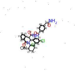 NC(=O)Cc1ccc(CONC(=O)[C@@H]2c3ccccc3C(=O)N([C@H]3CCCC[C@@H]3N=O)[C@H]2c2ccc(Cl)cc2Cl)cc1